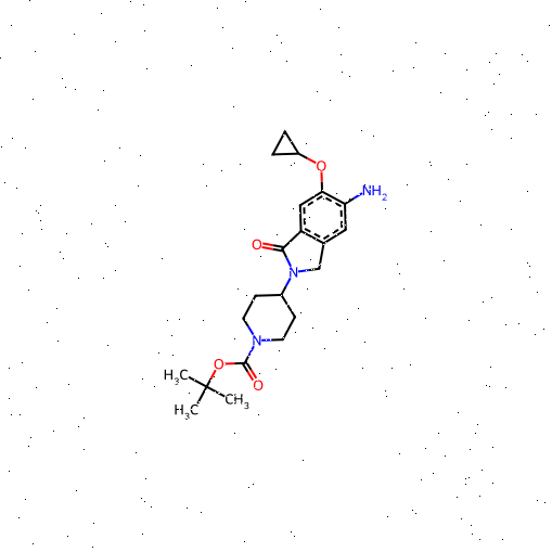 CC(C)(C)OC(=O)N1CCC(N2Cc3cc(N)c(OC4CC4)cc3C2=O)CC1